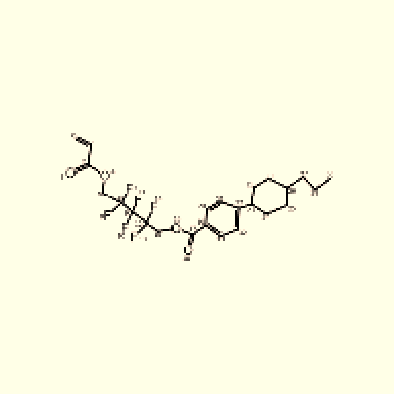 C=CC(=O)OCC(F)(F)C(F)(F)C(F)(F)COC(=O)c1ccc(C2CCC(CCC)CC2)cc1